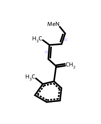 C=C(/C=C(C)\C=C/NC)c1ccccc1C